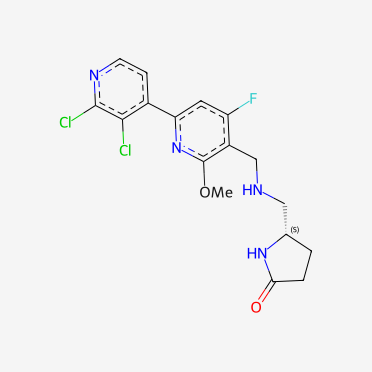 COc1nc(-c2ccnc(Cl)c2Cl)cc(F)c1CNC[C@@H]1CCC(=O)N1